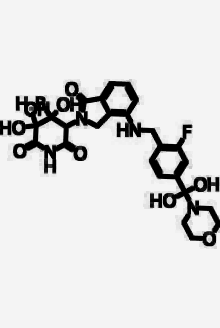 BC1(O)C(N2Cc3c(NCc4ccc(C(O)(O)N5CCOCC5)cc4F)cccc3C2=O)C(=O)NC(=O)C1(O)O